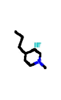 CCCC1CCN(C)CC1.F